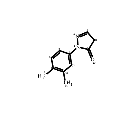 Cc1ccc(N2N=CCC2=O)cc1C